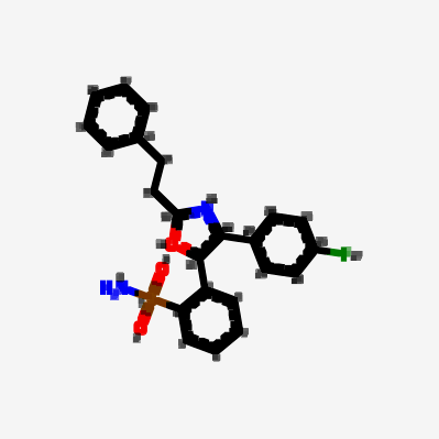 NS(=O)(=O)c1ccccc1-c1oc(CCc2ccccc2)nc1-c1ccc(F)cc1